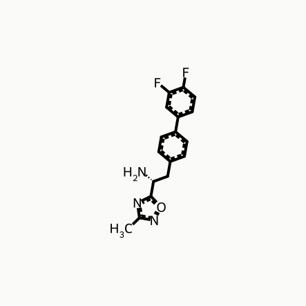 Cc1noc([C@H](N)Cc2ccc(-c3ccc(F)c(F)c3)cc2)n1